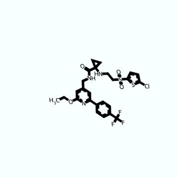 CCOc1cc(CNC(=O)C2(NCCS(=O)(=O)c3ccc(Cl)s3)CC2)cc(-c2ccc(C(F)(F)F)cc2)n1